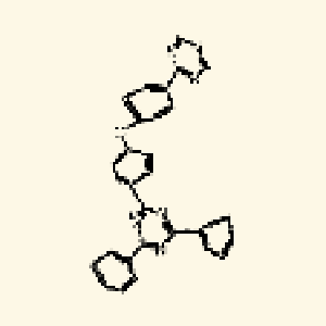 c1ccc(-c2nc(-c3ccccc3)nc(-c3ccc(Oc4ccc(-c5ncncn5)cc4)cc3)n2)cc1